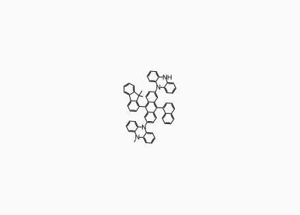 CN1c2ccccc2N(c2ccc3c(-c4cccc5ccccc45)c4cc(N5c6ccccc6Nc6ccccc65)ccc4c(-c4cccc5c4C(C)(C)c4ccccc4-5)c3c2)c2ccccc21